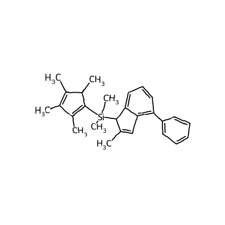 CC1=Cc2c(-c3ccccc3)cccc2C1[Si](C)(C)C1=C(C)C(C)=C(C)C1C